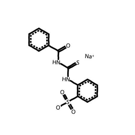 O=C(NC(=S)Nc1ccccc1S(=O)(=O)[O-])c1ccccc1.[Na+]